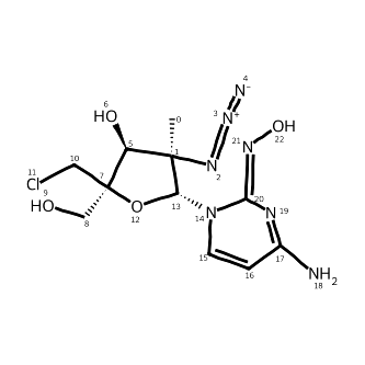 C[C@@]1(N=[N+]=[N-])[C@H](O)[C@](CO)(CCl)O[C@H]1n1ccc(N)n/c1=N\O